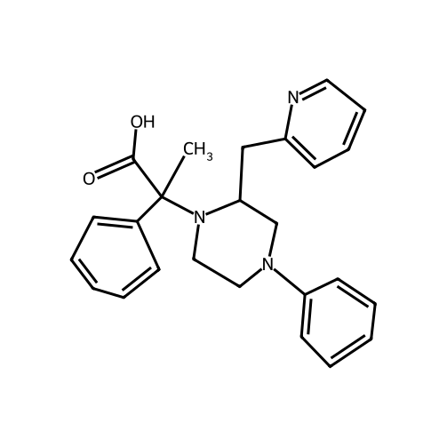 CC(C(=O)O)(c1ccccc1)N1CCN(c2ccccc2)CC1Cc1ccccn1